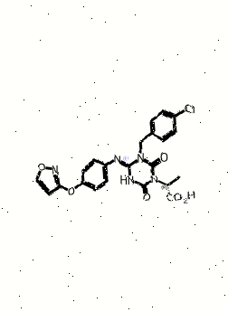 C[C@H](C(=O)O)n1c(=O)[nH]/c(=N\c2ccc(Oc3ccon3)cc2)n(Cc2ccc(Cl)cc2)c1=O